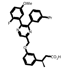 COc1ccc(F)c(-c2ncc(COc3cccc([C@H](C)CC(=O)O)c3)nc2-c2cccc(C(C)C)c2)c1